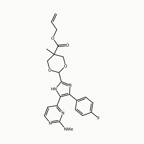 C=CCOC(=O)C1(C)COC(c2nc(-c3ccc(F)cc3)c(-c3ccnc(NC)n3)[nH]2)OC1